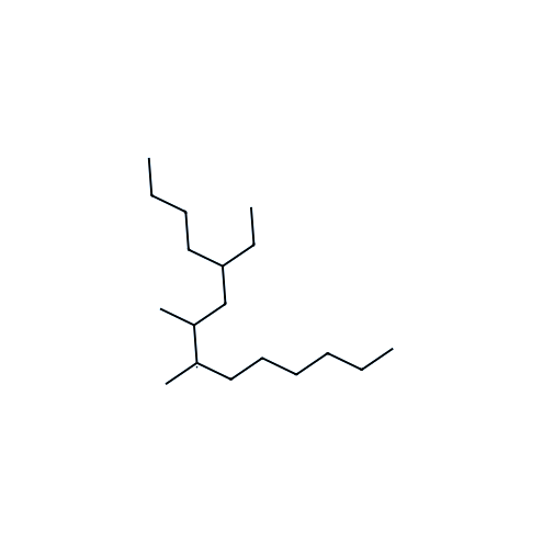 CCCCCC[C](C)C(C)CC(CC)CCCC